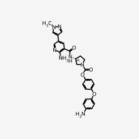 Cn1cc(-c2cnc(N)c(C(=O)N[C@@H]3CCN(C(=O)Oc4ccc(Oc5ccc(N)cc5)cc4)C3)c2)cn1